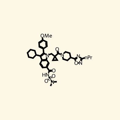 CCCc1noc(C2CCN(C(=O)C3(Cn4c(-c5ccc(OC)cc5)c(C5CCCCC5)c5ccc(C(=O)NS(=O)(=O)N(C)C)cc54)CC3)CC2)n1